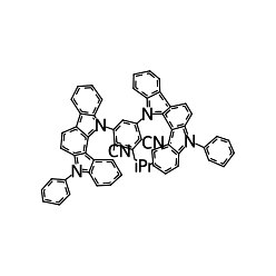 CC(C)c1c(C#N)c(-n2c3ccccc3c3ccc4c(c5ccccc5n4-c4ccccc4)c32)cc(-n2c3ccccc3c3ccc4c(c5ccccc5n4-c4ccccc4)c32)c1C#N